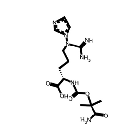 CC(C)(OC(=O)N[C@@H](CCCN(C(=N)N)n1ccnc1)C(=O)O)C(N)=O